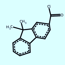 CC1(C)c2ccccc2-c2ccc(C(=O)Cl)cc21